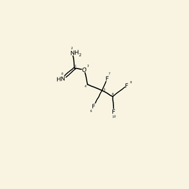 N=C(N)OCC(F)(F)C(F)F